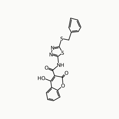 O=C(Nc1nnc(SCc2ccccc2)s1)c1c(O)c2ccccc2oc1=O